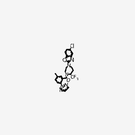 Cc1ccc(-n2nccn2)c(C(=O)N2CCN(c3nc4cc(Cl)ccc4o3)CC[C@@H]2C(F)(F)F)c1